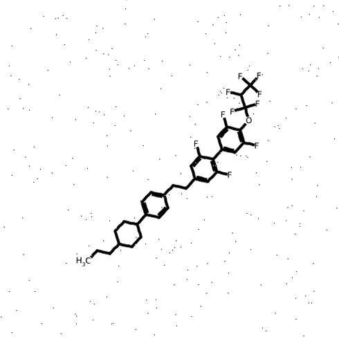 CCCC1CCC(c2ccc(CCc3cc(F)c(-c4cc(F)c(OC(F)(F)C(F)C(F)(F)F)c(F)c4)c(F)c3)cc2)CC1